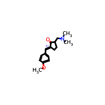 COc1ccc(/C=C2\CCC(CN(C)C)C2=O)cc1